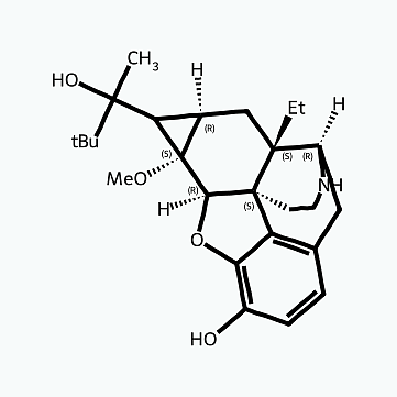 CC[C@]12C[C@@H]3C(C(C)(O)C(C)(C)C)[C@]3(OC)[C@@H]3Oc4c(O)ccc5c4[C@@]31CCN[C@@H]2C5